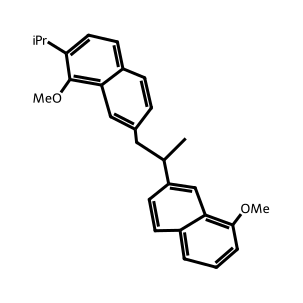 COc1cccc2ccc(C(C)Cc3ccc4ccc(C(C)C)c(OC)c4c3)cc12